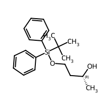 C[C@@H](O)CCO[Si](c1ccccc1)(c1ccccc1)C(C)(C)C